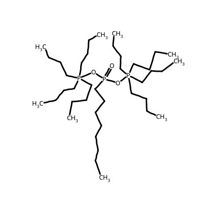 CCCCCCCCP(=O)(OP(CCCC)(CCCC)(CCCC)CCCC)OP(CCCC)(CCCC)(CCCC)CCCC